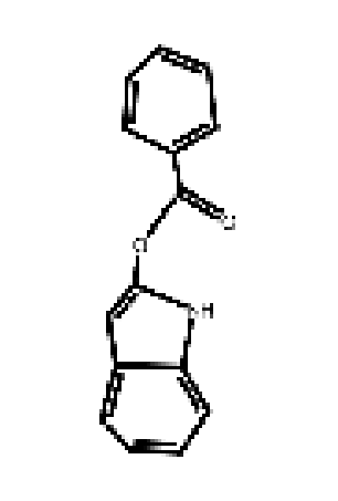 O=C(Oc1cc2ccccc2[nH]1)c1ccccc1